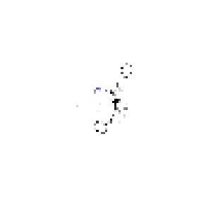 O=C(Nc1ncnc2c1cnn2CCN1CCCCCC1)C1CCC(F)(F)CC1.O=C(O)/C=C\C(=O)O